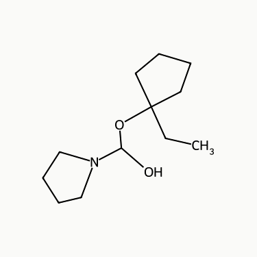 CCC1(OC(O)N2CCCC2)CCCC1